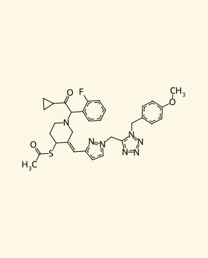 COc1ccc(Cn2nnnc2Cn2ccc(C=C3CN(C(C(=O)C4CC4)c4ccccc4F)CCC3SC(C)=O)n2)cc1